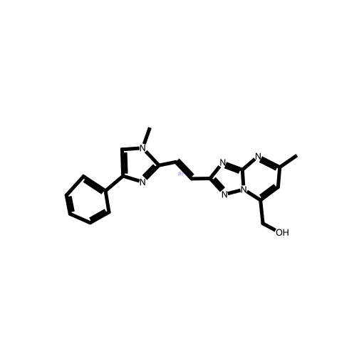 Cc1cc(CO)n2nc(/C=C/c3nc(-c4ccccc4)cn3C)nc2n1